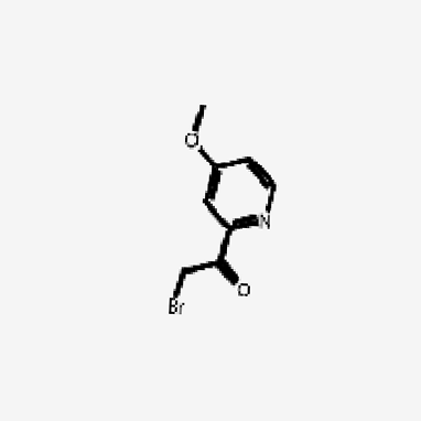 COc1ccnc(C(=O)CBr)c1